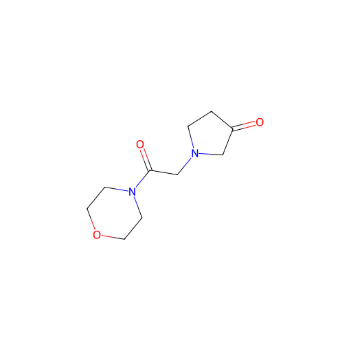 O=C1CCN(CC(=O)N2CCOCC2)C1